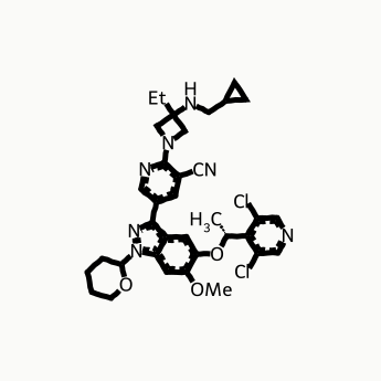 CCC1(NCC2CC2)CN(c2ncc(-c3nn(C4CCCCO4)c4cc(OC)c(O[C@H](C)c5c(Cl)cncc5Cl)cc34)cc2C#N)C1